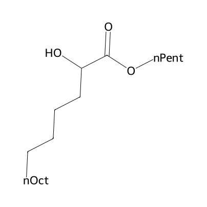 CCCCCCCCCCCCC(O)C(=O)OCCCCC